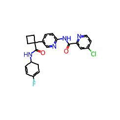 O=C(Nc1ccc(C2(C(=O)NC3C=CC(F)=CC3)CCC2)cn1)c1cc(Cl)ccn1